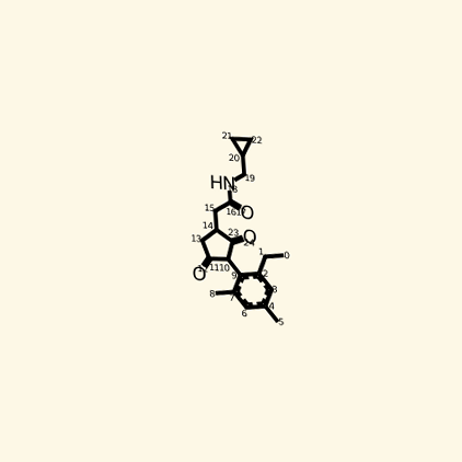 CCc1cc(C)cc(C)c1C1C(=O)CC(CC(=O)NCC2CC2)C1=O